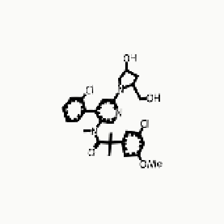 COc1cc(Cl)cc(C(C)(C)C(=O)N(C)c2cnc(N3CC(O)CC3CO)cc2-c2ccccc2Cl)c1